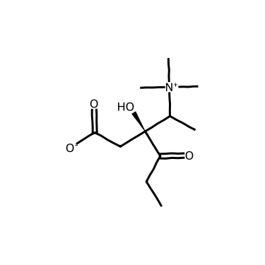 CCC(=O)[C@](O)(CC(=O)[O-])C(C)[N+](C)(C)C